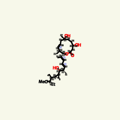 CC[C@H](OC)[C@@H](C)[C@H]1C[C@@H]1[C@H](O)[C@@H](C)/C=C/C=C(\C)[C@H]1OC(=O)C[C@H](O)CC[C@@](C)(O)C/C=C/[C@@H]1C